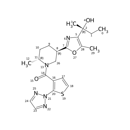 CC[C@@](C)(O)c1nc([C@@H]2CC[C@@H](C)N(C(=O)c3ccsc3-n3nccn3)C2)oc1C